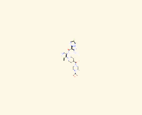 C=C(F)/C(=C(\C=N/C)NC(=O)c1c(N)nn2cc(F)cnc12)N1CCC(C(=O)N2CCN(C3COC3)CC2)CC1